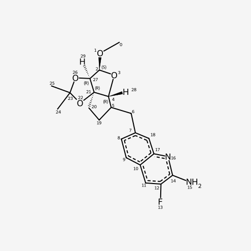 CO[C@H]1O[C@@H]2C(Cc3ccc4cc(F)c(N)nc4c3)CC[C@@]23OC(C)(C)O[C@@H]13